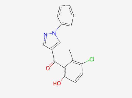 Cc1c(Cl)ccc(O)c1C(=O)c1cnn(-c2ccccc2)c1